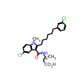 C[C@H](CC(=O)O)NC(=O)c1c(CCCCCCc2cccc(Cl)c2)n(C)c2ccc(Cl)cc12